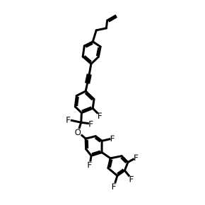 C=CCCc1ccc(C#Cc2ccc(C(F)(F)Oc3cc(F)c(-c4cc(F)c(F)c(F)c4)c(F)c3)c(F)c2)cc1